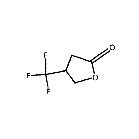 O=C1CC(C(F)(F)F)[CH]O1